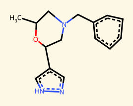 CC1CN(Cc2ccccc2)CC(c2cn[nH]c2)O1